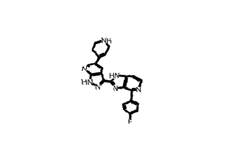 Fc1ccc(-c2nccc3[nH]c(-c4n[nH]c5ncc(C6=CCNCC6)cc45)nc23)cc1